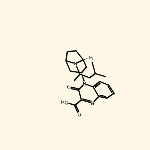 CC(C)CC(C)N1C2CC[C@H]1C[C@@H](n1c(=O)c(C(=O)O)nc3ccccc31)C2